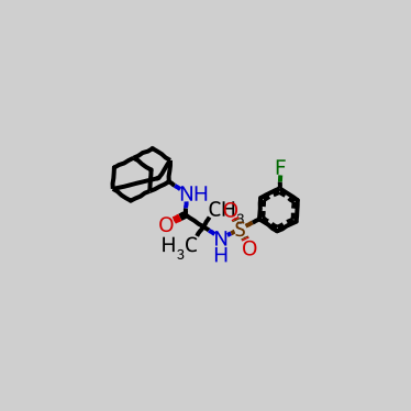 CC(C)(NS(=O)(=O)c1cccc(F)c1)C(=O)NC1C2CC3CC(C2)CC1C3